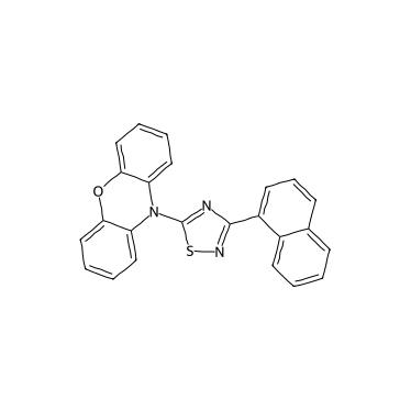 c1ccc2c(c1)Oc1ccccc1N2c1nc(-c2cccc3ccccc23)ns1